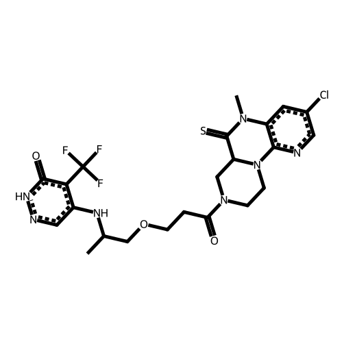 CC(COCCC(=O)N1CCN2c3ncc(Cl)cc3N(C)C(=S)C2C1)Nc1cn[nH]c(=O)c1C(F)(F)F